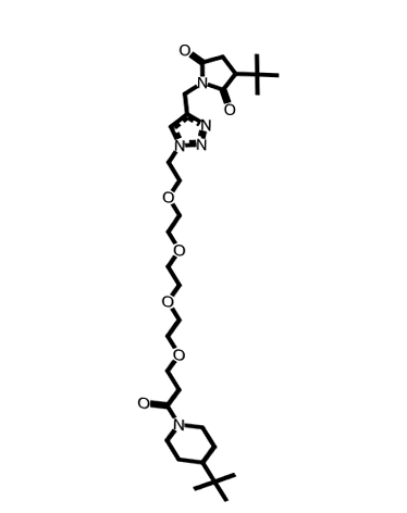 CC(C)(C)C1CCN(C(=O)CCOCCOCCOCCOCCn2cc(CN3C(=O)CC(C(C)(C)C)C3=O)nn2)CC1